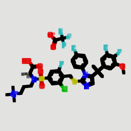 COc1cc(C(C)(C)c2cnc(SCc3c(F)cc(S(=O)(=O)N(CCC[N+](C)(C)C)[C@H](C)C(=O)O)cc3Cl)n2-c2ccc(F)cc2)cc(F)c1F.O=C([O-])C(F)(F)F